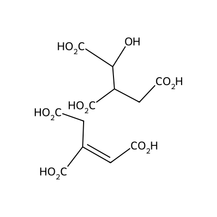 O=C(O)C=C(CC(=O)O)C(=O)O.O=C(O)CC(C(=O)O)C(O)C(=O)O